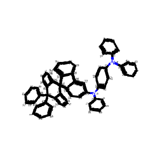 c1ccc(N(c2ccccc2)c2ccc(N(c3ccccc3)c3ccc4c(c3)-c3ccccc3C43c4ccccc4C(c4ccccc4)(c4ccccc4)c4ccccc43)cc2)cc1